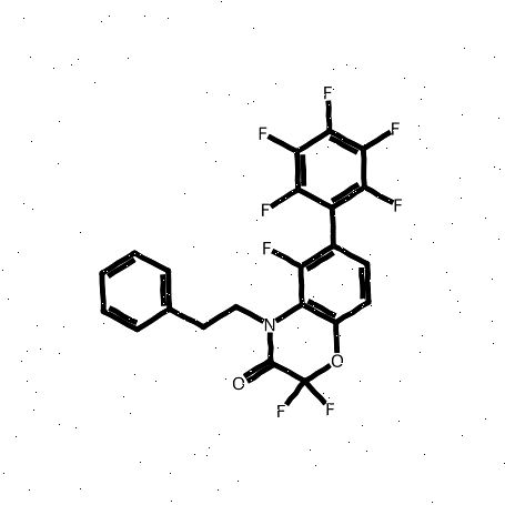 O=C1N(CCc2ccccc2)c2c(ccc(-c3c(F)c(F)c(F)c(F)c3F)c2F)OC1(F)F